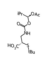 CC(=O)O[C@@H](OC(=O)NC[C@H](SC(C)(C)C)C(=O)O)C(C)C